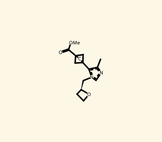 COC(=O)C12CC(c3c(C)ncn3C[C@@H]3CCO3)(C1)C2